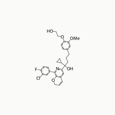 COc1cc(CCCC(O)(c2cc3c(c(-c4ccc(F)c(Cl)c4)n2)OCC=C3)C2CC2)ccc1OCCO